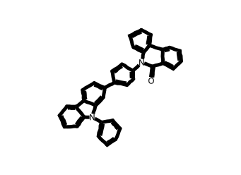 O=c1c2ccccc2c2ccccc2n1-c1ccc(-c2ccc3c4ccccc4n(-c4ccccc4)c3c2)cc1